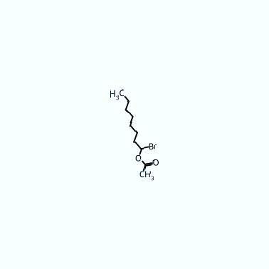 CCCCCCCC(Br)OC(C)=O